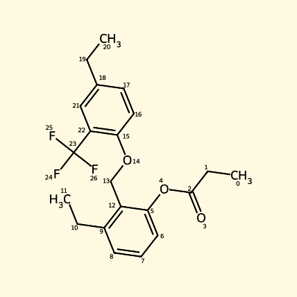 CCC(=O)Oc1cccc(CC)c1COc1ccc(CC)cc1C(F)(F)F